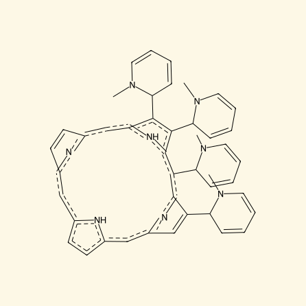 CN1C=CC=CC1C1=Cc2cc3ccc(cc4nc(cc5[nH]c(c(C6C=CC=CN6C)c1n2)c(C1C=CC=CN1C)c5C1C=CC=CN1C)C=C4)[nH]3